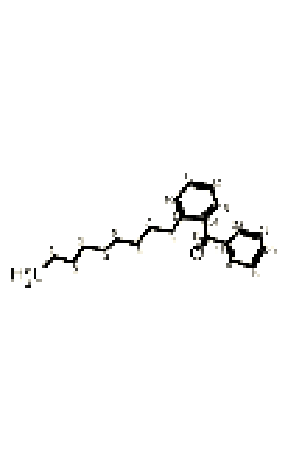 CCCCCCCCCc1ccccc1C(=O)c1ccccc1